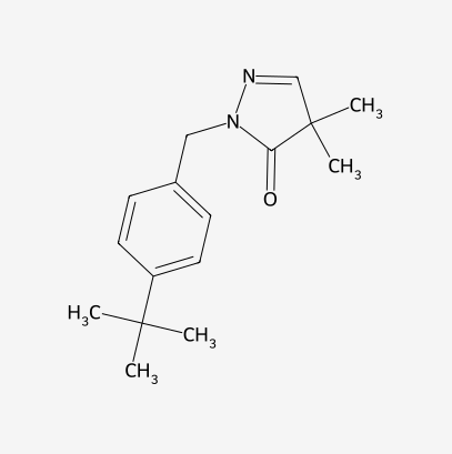 CC1(C)C=NN(Cc2ccc(C(C)(C)C)cc2)C1=O